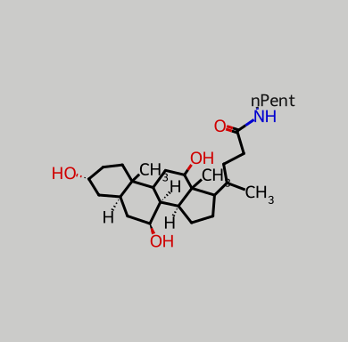 CCCCCNC(=O)CCC(C)C1CC[C@H]2[C@@H]3C(CC(O)C12C)C1(C)CC[C@@H](O)C[C@@H]1C[C@@H]3O